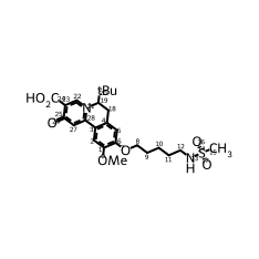 COc1cc2c(cc1OCCCCCNS(C)(=O)=O)CC(C(C)(C)C)n1cc(C(=O)O)c(=O)cc1-2